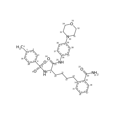 Cc1ccc(S(=O)(=O)NC(CCCCc2ccccc2C(N)=O)C(=O)Nc2ccc(N3CCOCC3)cc2)cc1